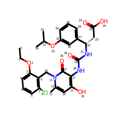 CCOc1cccc(Cl)c1Cn1c(C)cc(O)c(NC(=O)N[C@@H](CC(=O)O)c2cccc(OC(C)C)c2)c1=O